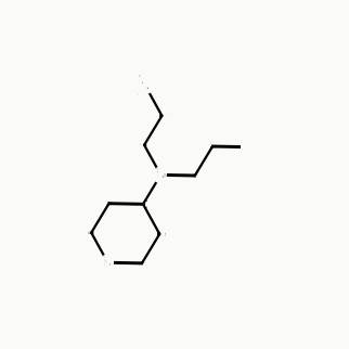 CCCN(CCN)C1CC[N]CC1